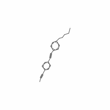 CC#Cc1ccc(C#Cc2ccc(CCCCC)cc2)cc1